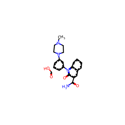 CN1CCN(c2cccc(-n3c(=O)c(C(N)=O)cc4ccccc43)c2)CC1.O=CO